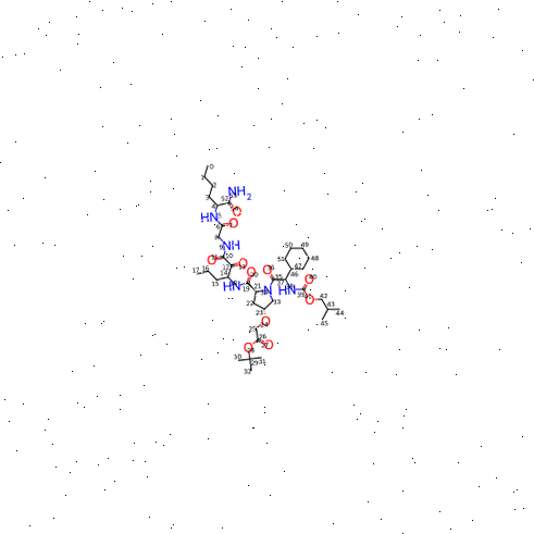 CCCCC(NC(=O)CNC(=O)C(=O)C(CCC)NC(=O)[C@@H]1C[C@@H](OCC(=O)OC(C)(C)C)CN1C(=O)C(NC(=O)OCC(C)C)C1CCCCC1)C(N)=O